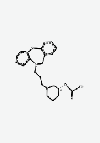 O=C(O)O[C@@H]1CCCN(CCCN2Cc3ccccc3Sc3ccccc32)C1